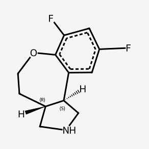 Fc1cc(F)c2c(c1)[C@H]1CNC[C@@H]1CCO2